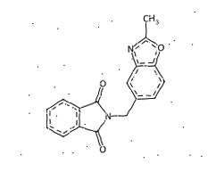 Cc1nc2cc(CN3C(=O)c4ccccc4C3=O)ccc2o1